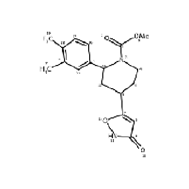 COC(=O)N1CCC(c2cc(=O)[nH]o2)CC1c1ccc(C(F)(F)F)c(C)c1